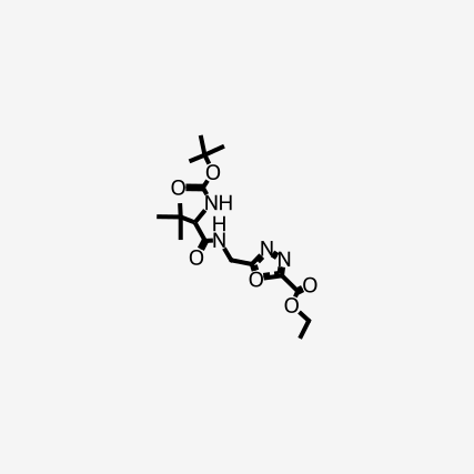 CCOC(=O)c1nnc(CNC(=O)C(NC(=O)OC(C)(C)C)C(C)(C)C)o1